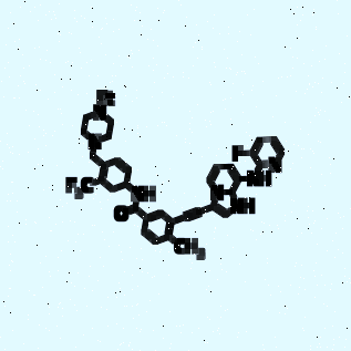 CCN1CCN(CC2=C(C(F)(F)F)CC(NC(=O)c3ccc(C)c(C#CC4=CNC5C(Nc6ncccc6F)=CC=CN45)c3)C=C2)CC1